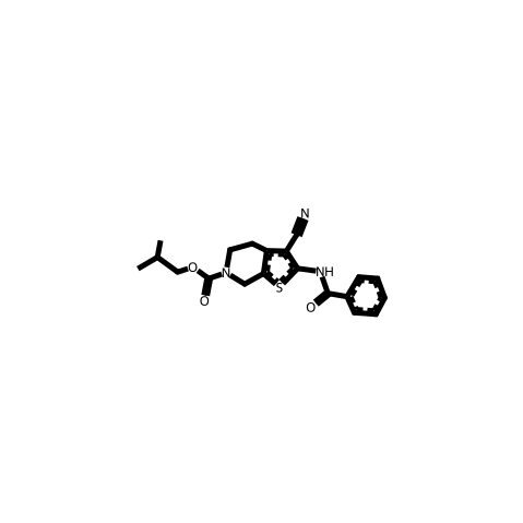 CC(C)COC(=O)N1CCc2c(sc(NC(=O)c3ccccc3)c2C#N)C1